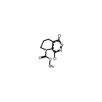 CC(C)(C)OC(=O)N1CCCc2c(Cl)nnc(Cl)c21